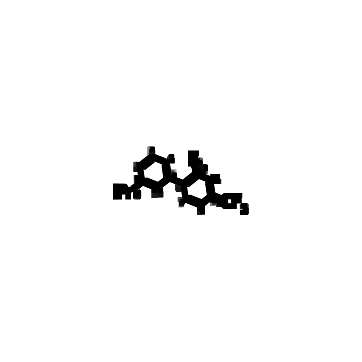 CC(C)c1cccc(-c2ccc(C(F)(F)F)cc2F)c1